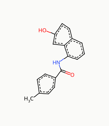 Cc1ccc(C(=O)Nc2cccc3ccc(O)cc23)cc1